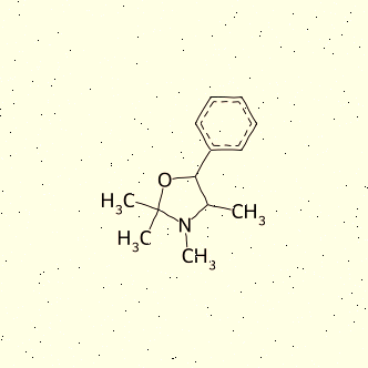 CC1C(c2ccccc2)OC(C)(C)N1C